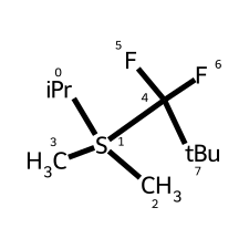 CC(C)S(C)(C)C(F)(F)C(C)(C)C